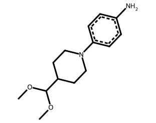 COC(OC)C1CCN(c2ccc(N)cc2)CC1